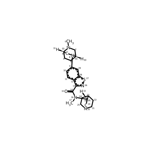 CN1C[C@@H]2CC[C@H]1CN2c1ccc2c(C(=O)N(C)[C@H]3CN4CCC3CC4)nsc2c1